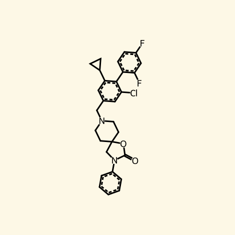 O=C1OC2(CCN(Cc3cc(Cl)c(-c4ccc(F)cc4F)c(C4CC4)c3)CC2)CN1c1ccccc1